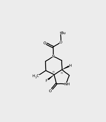 CC1CN(C(=O)OC(C)(C)C)C[C@@H]2CNC(=O)[C@]12F